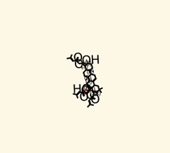 CC(C)=CC(=O)OC[C@@]12C(CC(C)(C)[C@@H](C)[C@@H]1OC(=O)C=C(C)C)C1=CCC3[C@@]4(C)CC[C@H](O)[C@](C)(COC(=O)C=C(C)C)C4CC[C@@]3(C)[C@]1(C)C[C@H]2O